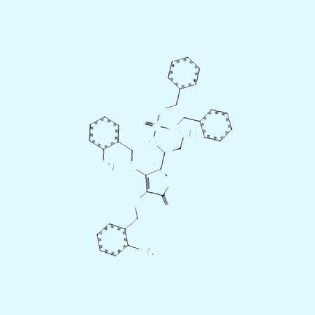 N#Cc1ccccc1COC1=C(OCc2ccccc2C#N)[C@@H]([C@H](CO)OP(=O)(OCc2ccccc2)OCc2ccccc2)OC1=O